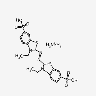 CCN1c2ccc(S(=O)(=O)O)cc2SC1N=NC1Sc2cc(S(=O)(=O)O)ccc2N1CC.N.N